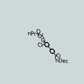 CCCCCCCCCCCC(=O)c1ccc(-c2ccc(OCC(C)OC(=O)CCC)c(Cl)c2)cc1